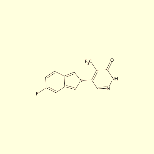 O=c1[nH]ncc(-n2cc3ccc(F)cc3c2)c1C(F)(F)F